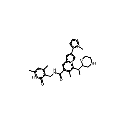 Cc1cc(C)c(CNC(=O)c2cc3cc(-c4ccnn4C)cn3c(C(C)C3CNCCO3)c2C)c(=O)[nH]1